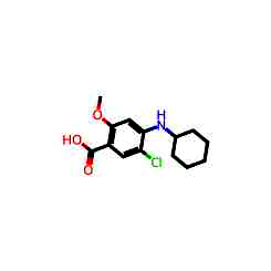 COc1cc(NC2CCCCC2)c(Cl)cc1C(=O)O